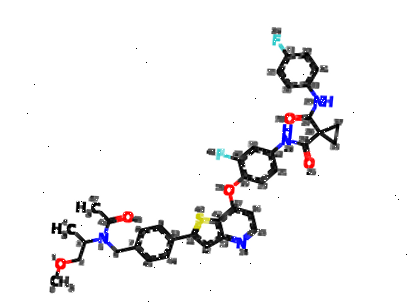 COCC(C)N(Cc1ccc(-c2cc3nccc(Oc4ccc(NC(=O)C5(C(=O)Nc6ccc(F)cc6)CC5)cc4F)c3s2)cc1)C(C)=O